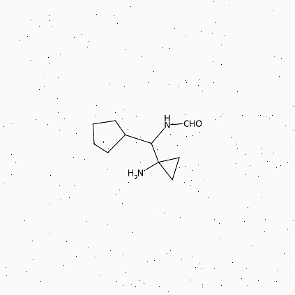 NC1(C(NC=O)C2CCCC2)CC1